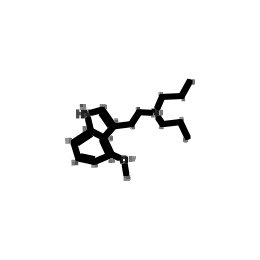 CCCN(CCC)CCc1c[nH]c2cccc(OC)c12